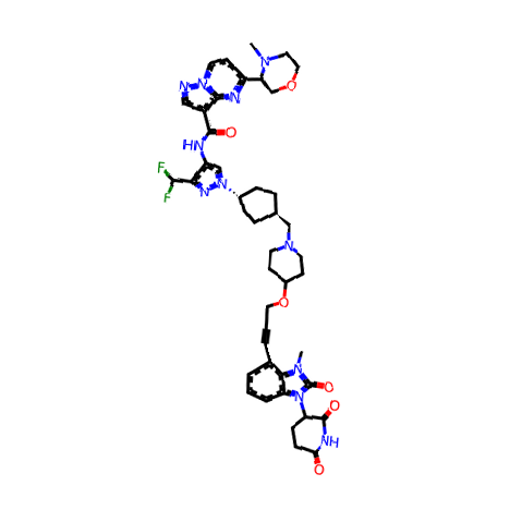 CN1CCOCC1c1ccn2ncc(C(=O)Nc3cn([C@H]4CC[C@H](CN5CCC(OCC#Cc6cccc7c6n(C)c(=O)n7C6CCC(=O)NC6=O)CC5)CC4)nc3C(F)F)c2n1